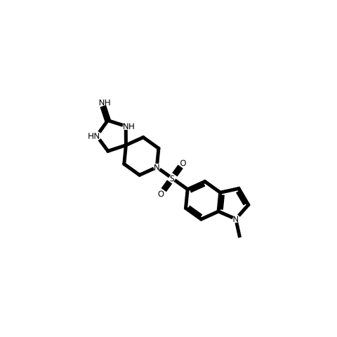 Cn1ccc2cc(S(=O)(=O)N3CCC4(CC3)CNC(=N)N4)ccc21